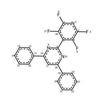 Fc1nc(F)c(F)c(-c2nc(-c3ccccc3)cc(-c3ccccc3)n2)c1F